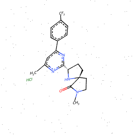 Cc1cc(-c2ccc(C(F)(F)F)cc2)nc([C@@H]2CC[C@]3(CCN(C)C3=O)N2)n1.Cl